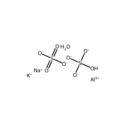 O.O=S(=O)([O-])[O-].[Al+3].[K+].[Na+].[O-][Si]([O-])([O-])O